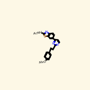 COc1ccc(CCc2nccc(-c3ccc4nc(NC(C)=O)sc4c3)n2)cc1